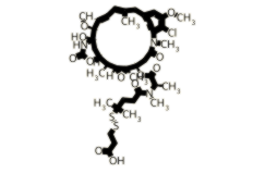 COc1cc2cc(c1Cl)N(C)C(=O)C[C@@H](OC(=O)[C@@H](C)N(C)C(=O)CCC(C)(C)SSCCC(=O)O)[C@]1(C)O[C@@H]1[C@@H](C)[C@H]1C[C@](O)(NC(=O)O1)[C@@H](OC)/C=C/C=C(\C)C2